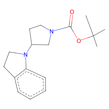 CC(C)(C)OC(=O)N1CCC(N2CCc3ccccc32)C1